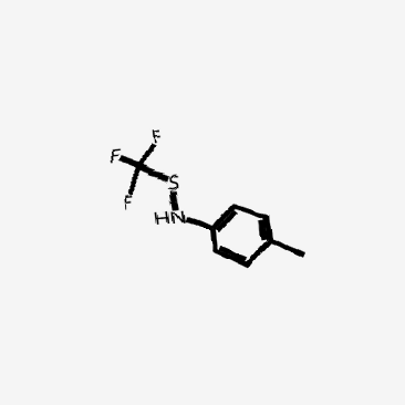 Cc1ccc(NSC(F)(F)F)cc1